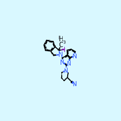 CC1(I)c2ccccc2CN1c1nc(N2CCCC(C#N)C2)nc2ncccc12